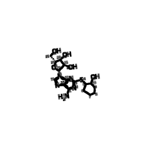 Nc1nc(SC2CCCCC2O)nc2c1ncn2[C@@H]1O[C@H](CO)[C@@H](O)[C@H]1O